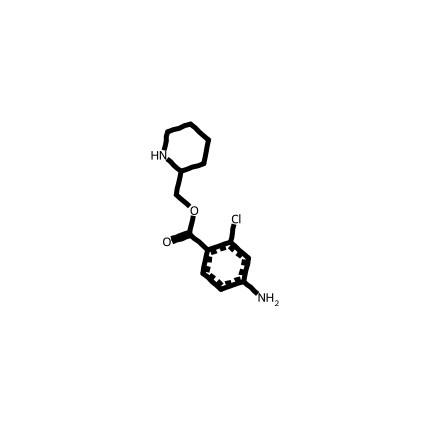 Nc1ccc(C(=O)OCC2CCCCN2)c(Cl)c1